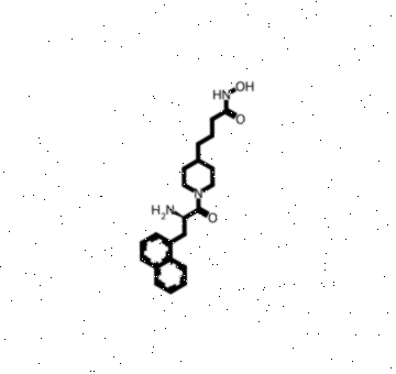 N[C@H](Cc1cccc2ccccc12)C(=O)N1CCC(CCCC(=O)NO)CC1